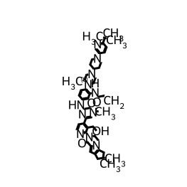 C=CC(=O)Nc1cc(Nc2nc(-c3ccnc(N4CCn5c(cc6c5CC(C)(C)C6)C4=O)c3CO)cn(C)c2=O)ccc1N1CCN(C2CCN(c3ccc(C(C)(C)C)nc3)CC2)C[C@@H]1C